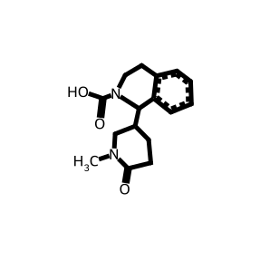 CN1CC(C2c3ccccc3CCN2C(=O)O)CCC1=O